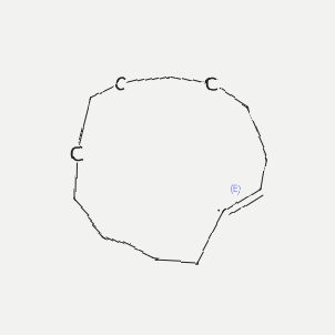 [C]1=C/CCCCCCCCCCC/1